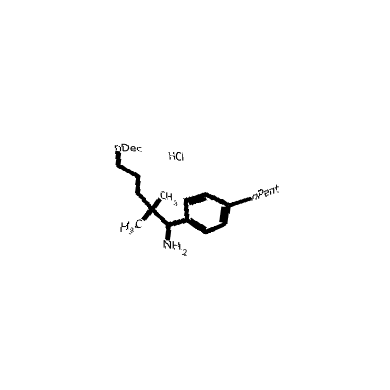 CCCCCCCCCCCCCC(C)(C)C(N)c1ccc(CCCCC)cc1.Cl